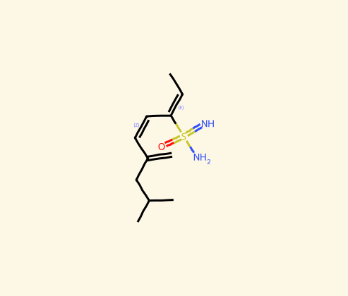 C=C(/C=C\C(=C/C)S(=N)(N)=O)CC(C)C